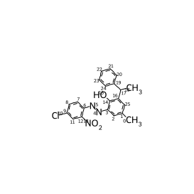 Cc1cc(N=Nc2ccc(Cl)cc2[N+](=O)[O-])c(O)c(C(C)c2ccccc2)c1